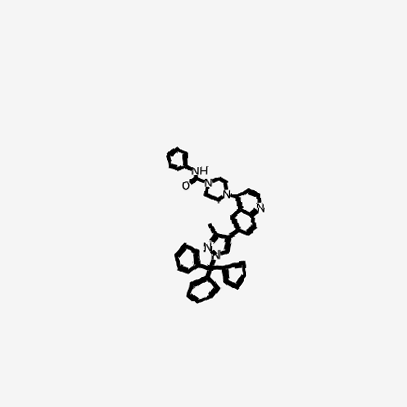 Cc1nn(C(c2ccccc2)(c2ccccc2)c2ccccc2)cc1-c1ccc2nccc(N3CCN(C(=O)Nc4ccccc4)CC3)c2c1